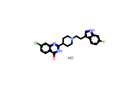 Cl.O=c1[nH]c(C2CCN(CCc3c[nH]c4cc(F)ccc34)CC2)nc2cc(Cl)ccc12